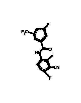 N#Cc1c(F)ccc(NC(=O)c2cc(F)cc(C(F)(F)F)c2)c1I